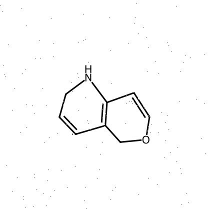 [C]1=CCNC2=C1COC=C2